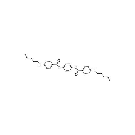 C=CCCCOc1ccc(C(=O)Oc2ccc(OC(=O)c3ccc(OCCCC=C)cc3)cc2)cc1